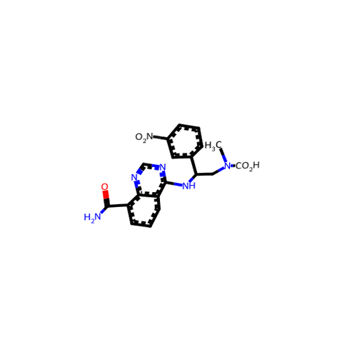 CN(CC(Nc1ncnc2c(C(N)=O)cccc12)c1cccc([N+](=O)[O-])c1)C(=O)O